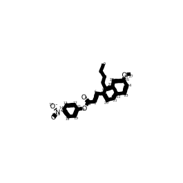 CCCCc1c(/C=C/C(=O)Oc2ccc([N+](=O)[O-])cc2)ccc2ccc(OC)cc12